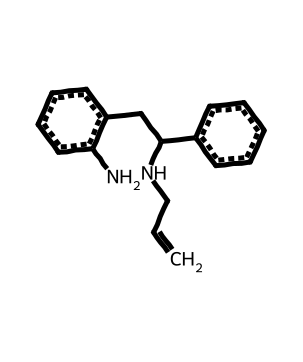 C=CCNC(Cc1ccccc1N)c1ccccc1